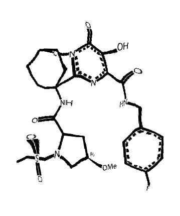 CO[C@@H]1CC(C(=O)NC23CCC(CC2)Cn2c3nc(C(=O)NCc3ccc(F)cc3)c(O)c2=O)N(S(C)(=O)=O)C1